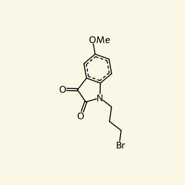 COc1ccc2c(c1)C(=O)C(=O)N2CCCBr